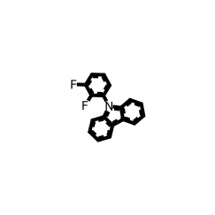 Fc1cccc(-n2c3ccccc3c3ccccc32)c1F